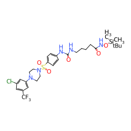 CC(C)(C)[Si](C)(C)ONC(=O)CCCCNC(=O)Nc1ccc(S(=O)(=O)N2CCN(c3cc(Cl)cc(C(F)(F)F)c3)CC2)cc1